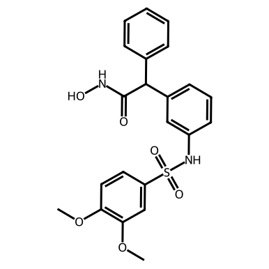 COc1ccc(S(=O)(=O)Nc2cccc(C(C(=O)NO)c3ccccc3)c2)cc1OC